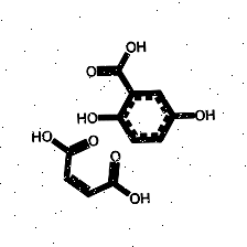 O=C(O)/C=C\C(=O)O.O=C(O)c1cc(O)ccc1O